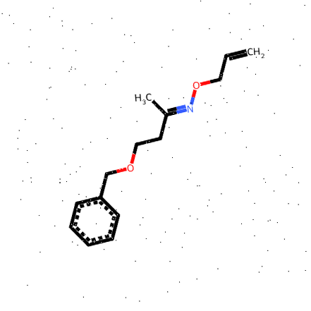 C=CCO/N=C(\C)CCOCc1ccccc1